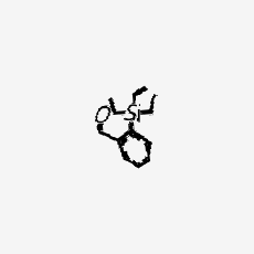 C=C[Si](CC)(CC)c1ccccc1C=O